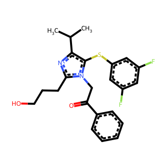 CC(C)c1nc(CCCO)n(CC(=O)c2ccccc2)c1Sc1cc(F)cc(F)c1